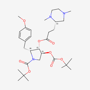 COc1ccc(C[C@@H]2[C@H](OC(=O)CC[C@H]3CN(C)CCN3C)[C@@H](OC(=O)OC(C)(C)C)CN2C(=O)OC(C)(C)C)cc1